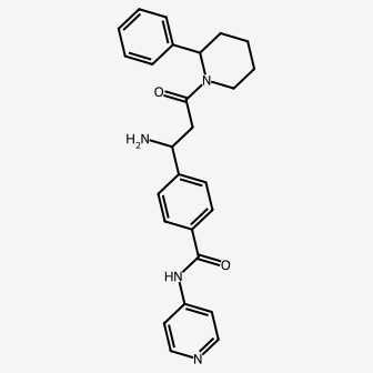 NC(CC(=O)N1CCCCC1c1ccccc1)c1ccc(C(=O)Nc2ccncc2)cc1